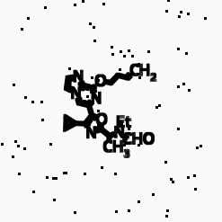 C=CCCOc1nc(-c2oc(C(C)N(C=O)CC)nc2C2CC2)cn2ccnc12